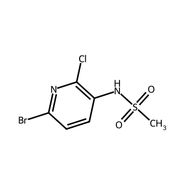 CS(=O)(=O)Nc1ccc(Br)nc1Cl